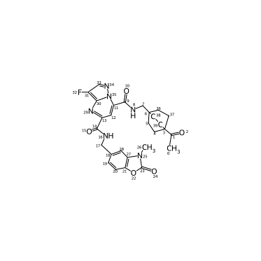 CC(=O)C12CCC(CNC(=O)c3cc(C(=O)NCc4ccc5oc(=O)n(C)c5c4)nc4c(F)cnn34)(CC1)CC2